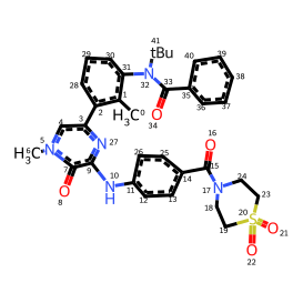 Cc1c(-c2cn(C)c(=O)c(Nc3ccc(C(=O)N4CCS(=O)(=O)CC4)cc3)n2)cccc1N(C(=O)c1ccccc1)C(C)(C)C